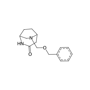 O=C1CC2CCC(CN2COCc2ccccc2)N1